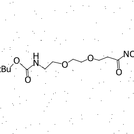 CC(C)(C)OC(=O)NCCOCCOCCC(=O)N=O